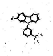 CN(C)c1ccnc(-n2c3ccccc3c3ccc(O)cc32)c1